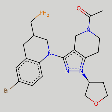 CC(=O)N1CCc2c(c(N3CC(CP)Cc4cc(Br)ccc43)nn2[C@H]2CCOC2)C1